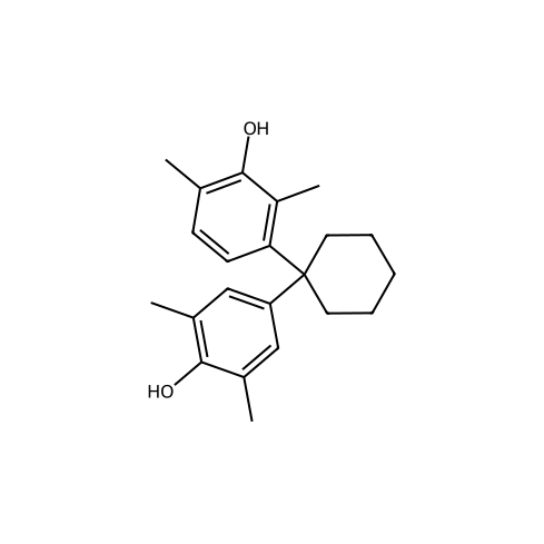 Cc1cc(C2(c3ccc(C)c(O)c3C)CCCCC2)cc(C)c1O